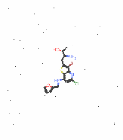 CC(O)C(N)Cc1sc2c(NCc3ccco3)cc(Cl)nc2c1Br